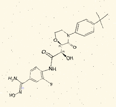 CC(C)(C)c1ccc(N2CCO[C@H]([C@@H](O)C(=O)Nc3ccc(/C(N)=N/O)cc3F)C2=O)cc1